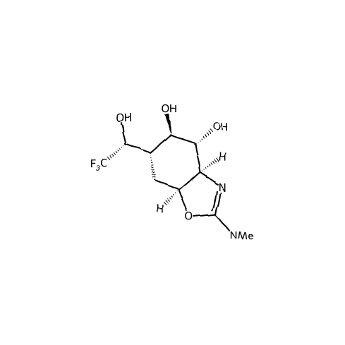 CNC1=N[C@@H]2[C@@H](O)[C@H](O)[C@@H]([C@@H](O)C(F)(F)F)C[C@@H]2O1